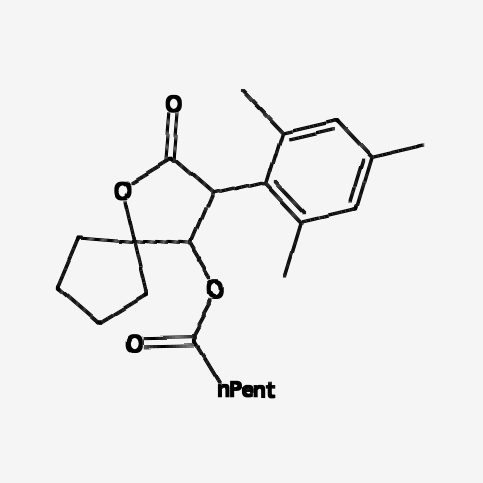 CCCCCC(=O)OC1C(c2c(C)cc(C)cc2C)C(=O)OC12CCCC2